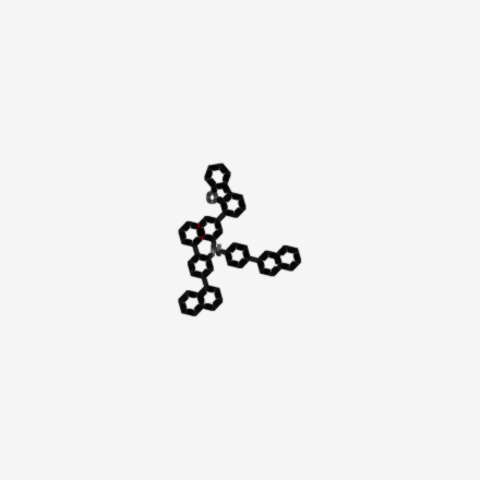 c1ccc(-c2ccc(-c3cccc4ccccc34)cc2N(c2ccc(-c3ccc4ccccc4c3)cc2)c2cccc(-c3cccc4c3oc3ccccc34)c2)cc1